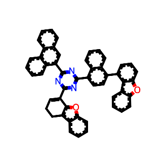 C1=C(c2nc(-c3ccc(-c4cccc5oc6ccccc6c45)c4ccccc34)nc(-c3cc4ccccc4c4ccccc34)n2)c2oc3ccccc3c2CC1